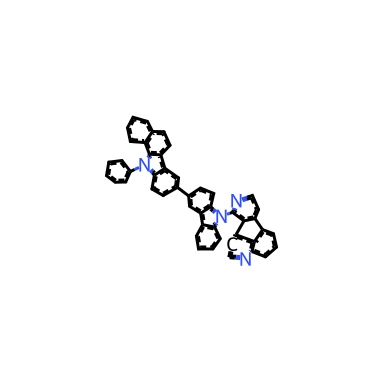 c1ccc(-n2c3ccc(-c4ccc5c(c4)c4ccccc4n5-c4nccc5c4-c4ccnc6cccc-5c46)cc3c3ccc4ccccc4c32)cc1